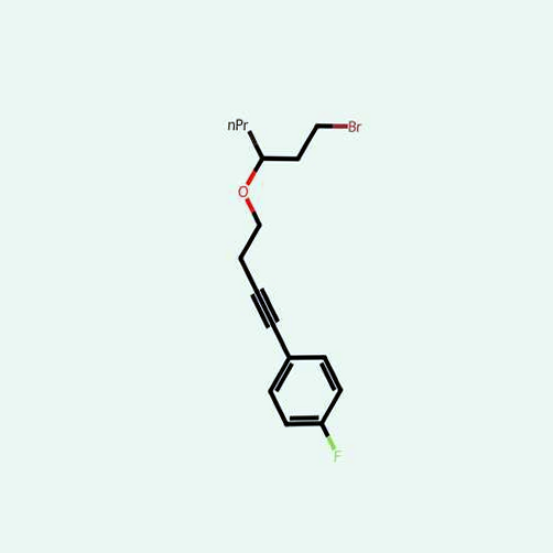 CCCC(CCBr)OCCC#Cc1ccc(F)cc1